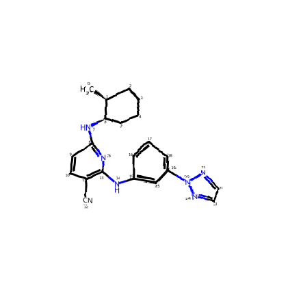 C[C@H]1CCCC[C@H]1Nc1ccc(C#N)c(Nc2cccc(-n3nccn3)c2)n1